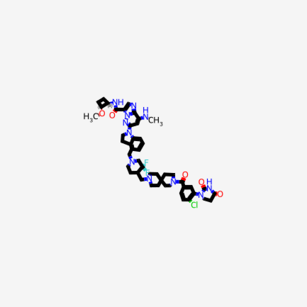 CNc1cc(N2CCc3c(CN4CCC(CN5CCC6(CC5)CCN(C(=O)c5ccc(Cl)c(N7CCC(=O)NC7=O)c5)CC6)C(F)(F)C4)cccc32)nn2c(C(=O)N[C@@H]3CC[C@H]3OC)cnc12